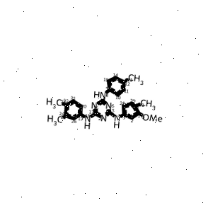 COc1cc(Nc2nc(Nc3ccc(C)cc3)nc(Nc3ccc(C)c(C)c3)n2)ccc1C